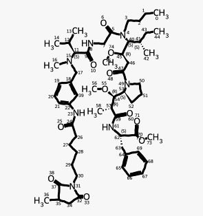 CCCCN(C(=O)CNC(=O)[C@H](C(C)C)N(C)Cc1cccc(NC(=O)CCCCCN2C(=O)CC(C)C2=O)c1)[C@@H]([C@@H](C)CC)[C@@H](CC(=O)N1CCC[C@H]1[C@H](OC)[C@@H](C)C(=O)N[C@@H](Cc1ccccc1)C(=O)OC)OC